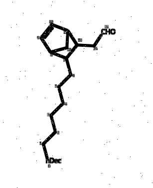 CCCCCCCCCCCCCCCCC1C2C=CC(C2)C1CC=O